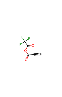 C#CC(=O)OC(=O)C(F)(F)F